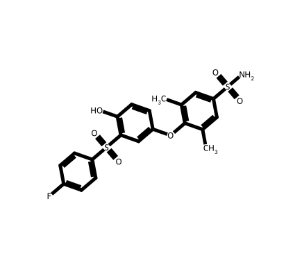 Cc1cc(S(N)(=O)=O)cc(C)c1Oc1ccc(O)c(S(=O)(=O)c2ccc(F)cc2)c1